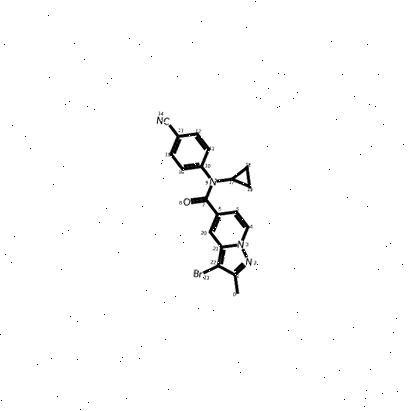 Cc1nn2ccc(C(=O)N(c3ccc(C#N)cc3)C3CC3)cc2c1Br